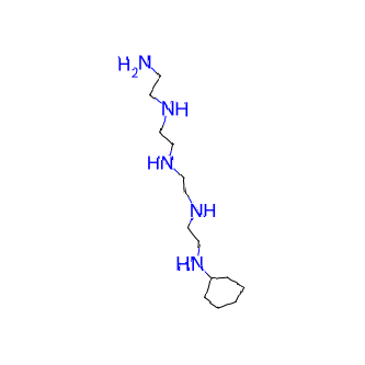 NCCNCCNCCNCCNC1CCCCC1